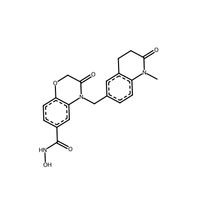 CN1C(=O)CCc2cc(CN3C(=O)COc4ccc(C(=O)NO)cc43)ccc21